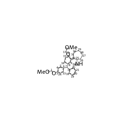 COCOc1ccc(C(c2ccc(OCOC)cc2)c2ccccc2CNC2CCCCCCC2)cc1